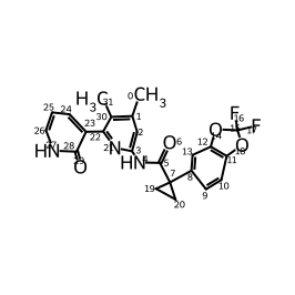 Cc1cc(NC(=O)C2(c3ccc4c(c3)OC(F)(F)O4)CC2)nc(-c2ccc[nH]c2=O)c1C